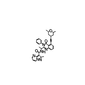 Cc1nn2cccnc2c1C(=O)NC(C)c1nc2cccc(C#CC3CC(C)OC(C)C3)c2c(=O)n1-c1ccccc1